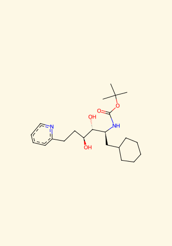 CC(C)(C)OC(=O)N[C@@H](CC1CCCCC1)[C@@H](O)[C@@H](O)CCc1ccccn1